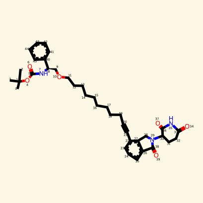 CC(C)(C)OC(=O)N[C@H](COCCCCCCCCCC#Cc1cccc2c1CN(C1CCC(=O)NC1=O)C2=O)c1ccccc1